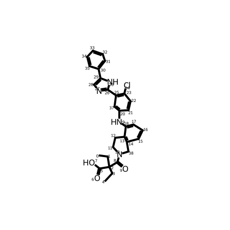 CCC(CC)(C(=O)O)C(=O)N1CCc2c(cccc2Nc2ccc(Cl)c(-c3ncc(-c4ccccc4)[nH]3)c2)C1